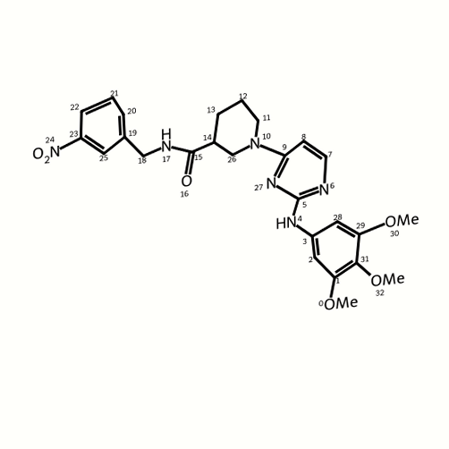 COc1cc(Nc2nccc(N3CCCC(C(=O)NCc4cccc([N+](=O)[O-])c4)C3)n2)cc(OC)c1OC